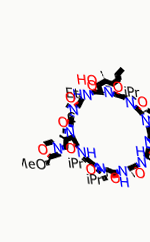 C/C=C/C[C@@H](C)[C@@H](O)[C@H]1C(=O)N[C@@H](CC)C(=O)N(C)CC(=O)N(C)[C@@H]([C@H](C)CN2CCO[C@H](COC)C2)C(=O)NC(C(C)C)C(=O)N(C)[C@@H](CC(C)C)C(=O)N[C@@H](C)C(=O)N[C@H](C)C(=O)N(C)[C@@H](CC(C)C)C(=O)N(C)[C@@H](CC(C)C)C(=O)N(C)C(C(C)C)C(=O)N1C